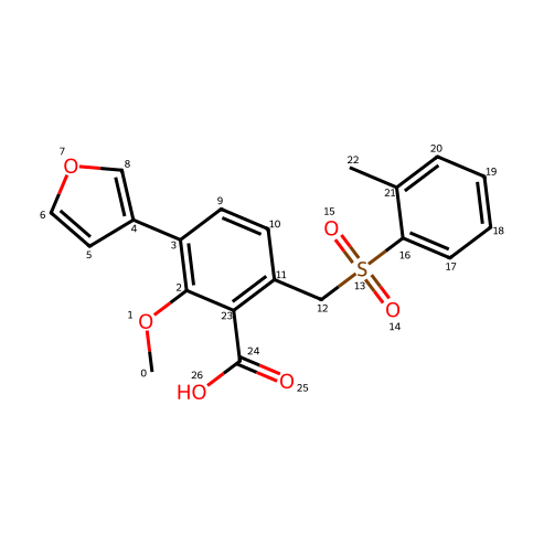 COc1c(-c2ccoc2)ccc(CS(=O)(=O)c2ccccc2C)c1C(=O)O